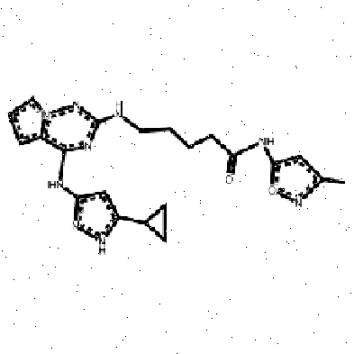 Cc1cc(NC(=O)CCCCNc2nc(Nc3cc(C4CC4)[nH]n3)c3cccn3n2)on1